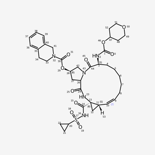 O=C(N[C@H]1CCCCC/C=C\[C@@H]2C[C@@]2(C(=O)NS(=O)(=O)C2CC2)NC(=O)C2C[C@@H](OC(=O)N3CCc4ccccc4C3)CN2C1=O)OC1CCOCC1